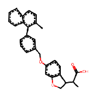 Cc1ccc2ccccc2c1-c1cccc(COc2ccc3c(c2)OCC3C(C)C(=O)O)c1